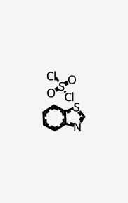 O=S(=O)(Cl)Cl.c1ccc2scnc2c1